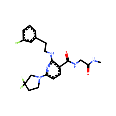 CNC(=O)CNC(=O)c1ccc(N2CCC(F)(F)C2)nc1NCCc1cccc(F)c1